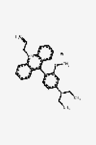 C=CC[n+]1c2ccccc2c(-c2ccc(N(CC)CC)cc2OC)c2ccccc21.[Br-]